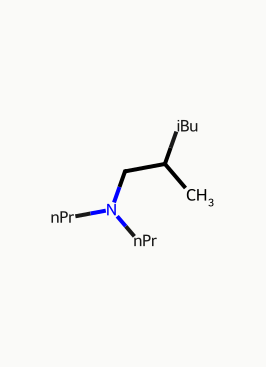 CCCN(CCC)CC(C)C(C)CC